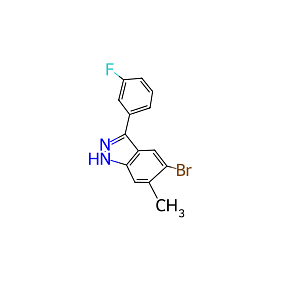 Cc1cc2[nH]nc(-c3cccc(F)c3)c2cc1Br